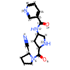 N#C[C@@H]1CCCN1C(=O)C1CC(NC(=O)c2cccnc2)CN1